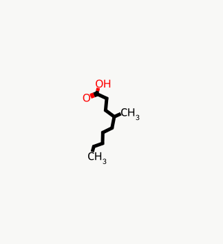 CCCCCC(C)CCC(=O)O